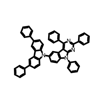 c1ccc(-c2ccc3c(c2)c2cc(-c4ccccc4)ccc2n3-c2ccc3c(c2)c2c(-c4ccccc4)nc(-c4ccccc4)nc2n3-c2ccccc2)cc1